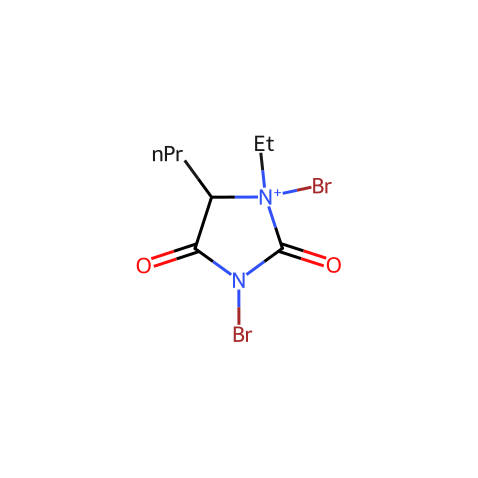 CCCC1C(=O)N(Br)C(=O)[N+]1(Br)CC